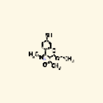 CCOC(=O)C(C(C)=O)/C(=N/C)c1ccc(S)cc1